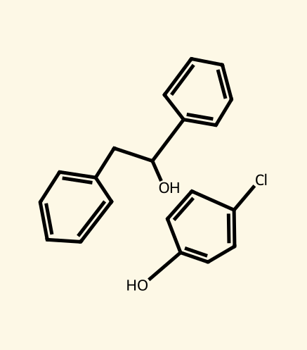 OC(Cc1ccccc1)c1ccccc1.Oc1ccc(Cl)cc1